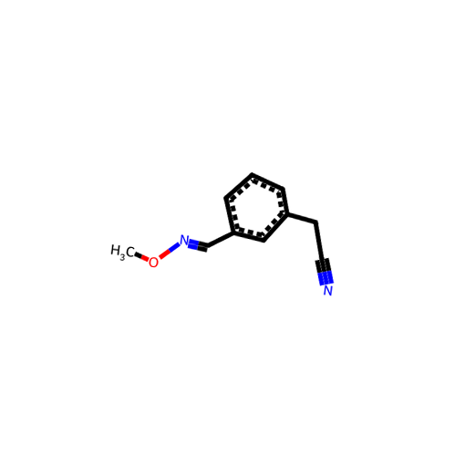 CON=Cc1cccc(CC#N)c1